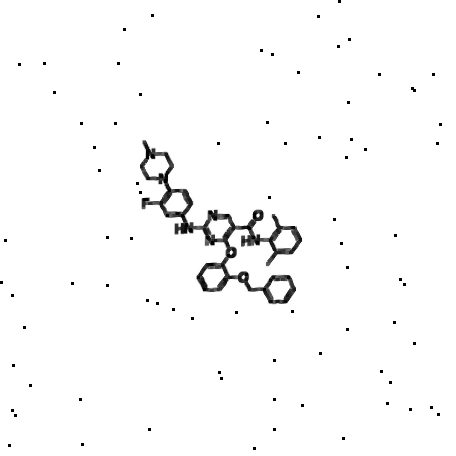 Cc1cccc(C)c1NC(=O)c1cnc(Nc2ccc(N3CCN(C)CC3)c(F)c2)nc1Oc1ccccc1OCc1ccccc1